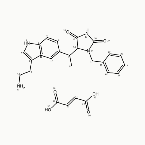 CC(c1ccc2[nH]cc(CCN)c2c1)C1C(=O)NC(=O)N1Cc1ccccc1.O=C(O)C=CC(=O)O